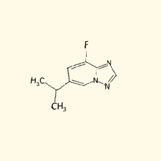 CC(C)c1cc(F)c2ncnn2c1